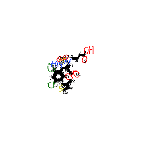 O=C(O)CCCN1C=C(C(=O)OCc2ccsc2)C(c2ccc(Cl)cc2Cl)NS1(=O)=O